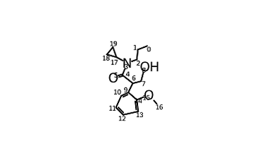 CCCN(C(=O)C(CO)c1ccccc1OC)C1CC1